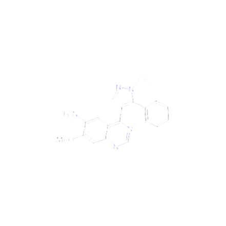 COc1cc2ncnc(-c3cnn(C(F)(F)F)c3-c3ccccc3)c2cc1N